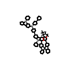 CC(C(C)(C)C)C(C)(c1ccc(-c2ccc3c(c2)C2(c4ccccc4-3)c3ccccc3-c3ccc(-c4cccc5c6cc(-c7ccc(N(c8ccc(-c9ccccc9)cc8)c8ccc9c%10ccccc%10n(-c%10ccccc%10)c9c8)cc7)ccc6n(-c6ccccc6)c45)cc32)cc1)C(C)(C)C